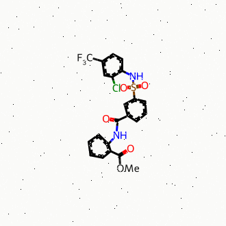 COC(=O)c1ccccc1NC(=O)c1cccc(S(=O)(=O)Nc2ccc(C(F)(F)F)cc2Cl)c1